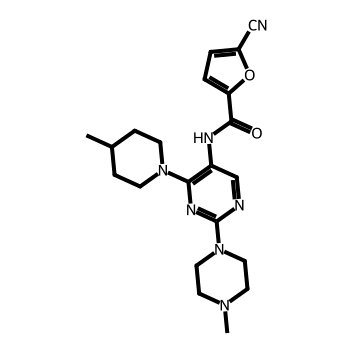 CC1CCN(c2nc(N3CCN(C)CC3)ncc2NC(=O)c2ccc(C#N)o2)CC1